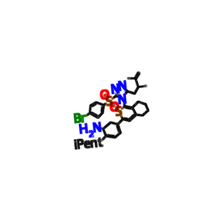 C=C(C)C(C)Cc1nnc(S(=O)(=O)c2ccc(Br)cc2)n1C1=C2CCCCC2=C=C(C2=CC=C(C(C)CCC)C(N)C2)S1